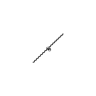 CCCCCCCCCCCCCC[CH2][Sn](=[O])[CH2]CCCCCCCCCCCCCC